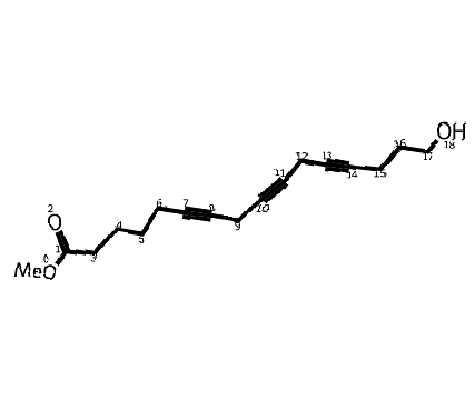 COC(=O)CCCCC#CCC#CCC#CCCCO